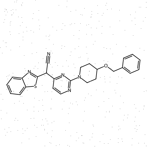 N#CC(c1ccnc(N2CCC(OCc3ccccc3)CC2)n1)c1nc2ccccc2s1